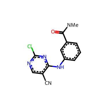 CNC(=O)c1cccc(Nc2nc(Cl)ncc2C#N)c1